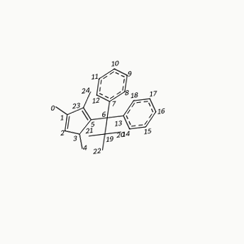 CC1=CC(C)C(C(c2ccccc2)(c2ccccc2)C(C)(C)C)=C1C